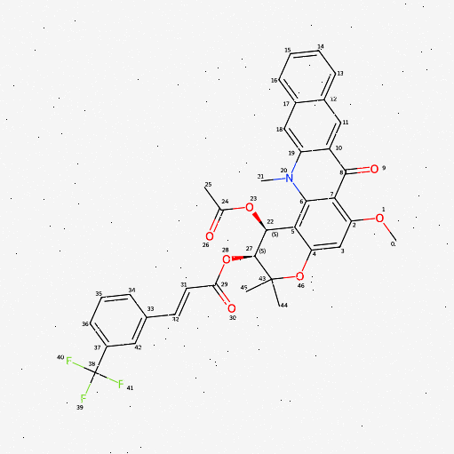 COc1cc2c(c3c1c(=O)c1cc4ccccc4cc1n3C)[C@H](OC(C)=O)[C@H](OC(=O)C=Cc1cccc(C(F)(F)F)c1)C(C)(C)O2